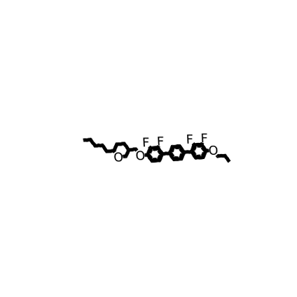 CCCCCC1CCC(COc2ccc(-c3ccc(-c4ccc(OCCC)c(F)c4F)cc3)c(F)c2F)CO1